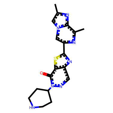 Cc1cn2cc(-c3nc4cnn(C5CCNCC5)c(=O)c4s3)nc(C)c2n1